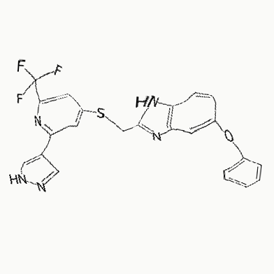 FC(F)(F)c1cc(SCc2nc3cc(Oc4ccccc4)ccc3[nH]2)cc(-c2cn[nH]c2)n1